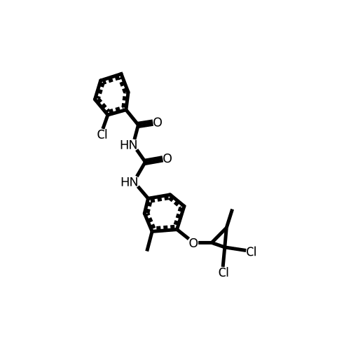 Cc1cc(NC(=O)NC(=O)c2ccccc2Cl)ccc1OC1C(C)C1(Cl)Cl